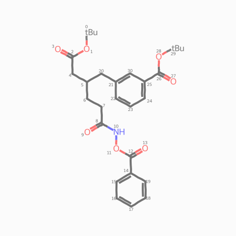 CC(C)(C)OC(=O)CC(CCC(=O)NOC(=O)c1ccccc1)Cc1cccc(C(=O)OC(C)(C)C)c1